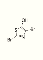 Oc1sc(Br)nc1Br